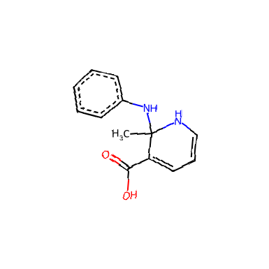 CC1(Nc2ccccc2)NC=CC=C1C(=O)O